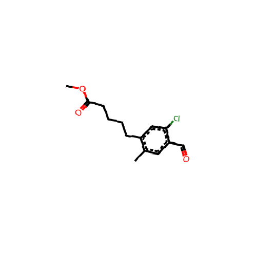 COC(=O)CCCCc1cc(Cl)c(C=O)cc1C